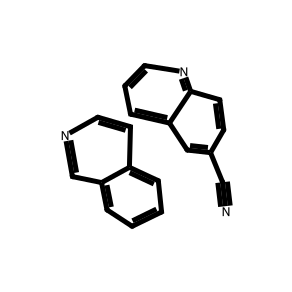 N#Cc1ccc2ncccc2c1.c1ccc2cnccc2c1